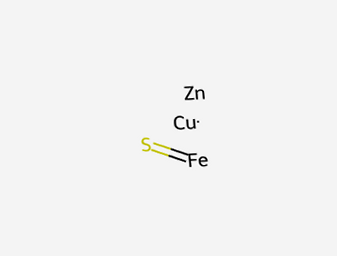 [Cu].[S]=[Fe].[Zn]